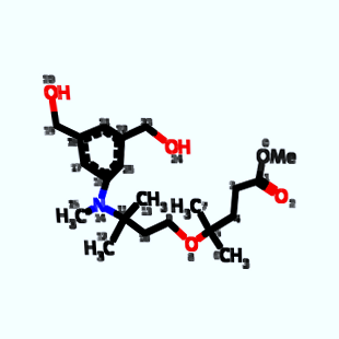 COC(=O)CCC(C)(C)OCCC(C)(C)N(C)c1cc(CO)cc(CO)c1